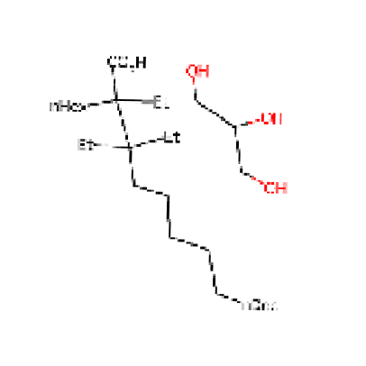 CCCCCCCCCCCCCCCC(CC)(CC)C(CC)(CCCCCC)C(=O)O.OCC(O)CO